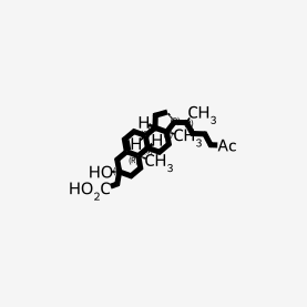 CC(=O)CCC[C@@H](C)[C@H]1CC[C@H]2[C@@H]3CC=C4C[C@](O)(CC(=O)O)CC[C@]4(C)[C@H]3CC[C@]12C